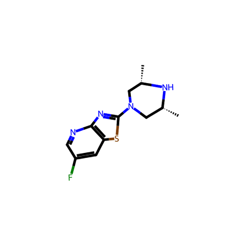 C[C@@H]1CN(c2nc3ncc(F)cc3s2)C[C@H](C)N1